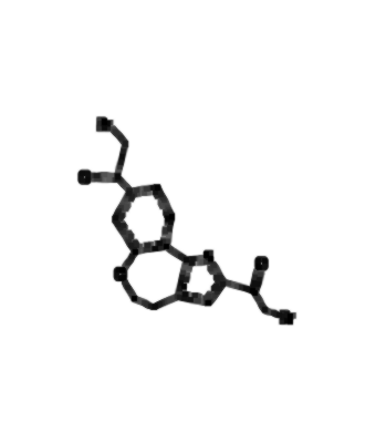 O=C(CBr)c1ccc2c(c1)OCCc1cc(C(=O)CBr)sc1-2